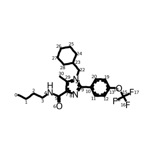 CCCCNC(=O)c1nc(-c2ccc(OC(F)(F)F)cc2)n(CC2CCCCC2)c1C